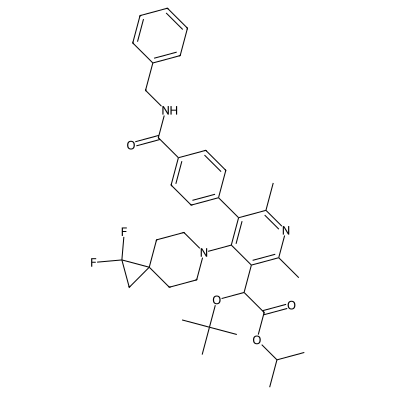 Cc1nc(C)c(C(OC(C)(C)C)C(=O)OC(C)C)c(N2CCC3(CC2)CC3(F)F)c1-c1ccc(C(=O)NCc2ccccc2)cc1